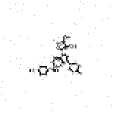 C[C@H]1O[C@@H](n2cc(-c3ccc(F)cc3)c3c2N=CN(Nc2ccc(Cl)cc2)C3)[C@H](O)[C@@H]1O